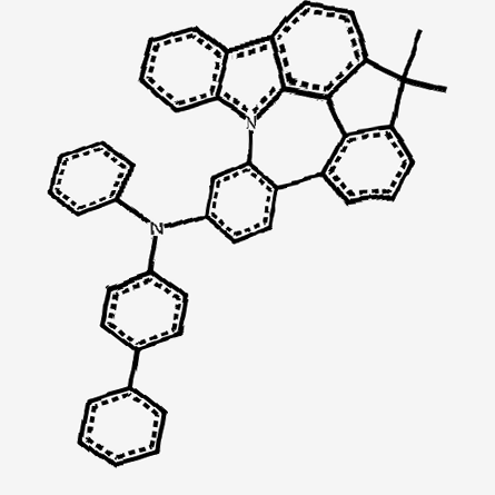 CC1(C)c2cccc3c2-c2c1ccc1c4ccccc4n(c21)-c1cc(N(c2ccccc2)c2ccc(-c4ccccc4)cc2)ccc1-3